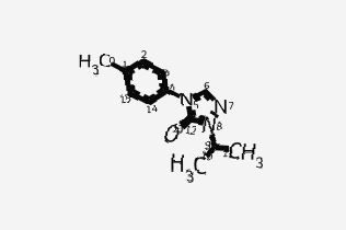 Cc1ccc(-n2cnn(C(C)C)c2=O)cc1